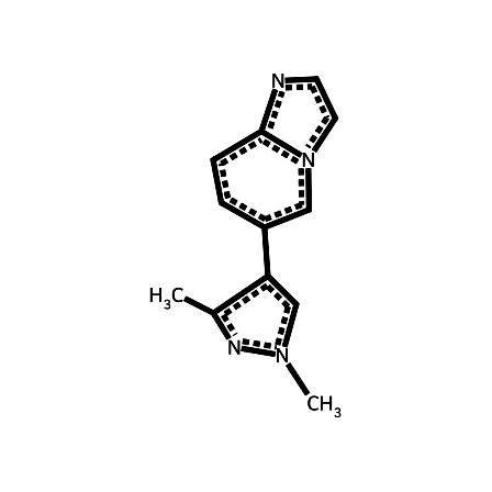 Cc1nn(C)cc1-c1ccc2nccn2c1